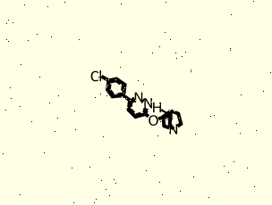 Clc1ccc(-c2ccc(O[C@H]3CN4CCC3CC4)nn2)cc1